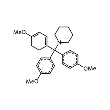 COC1=CC=C(C(c2ccc(OC)cc2)(c2ccc(OC)cc2)N2CCCCC2)CC1